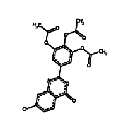 CC(=O)Oc1cc(-c2nc3cc(Cl)ccc3c(=O)o2)cc(OC(C)=O)c1OC(C)=O